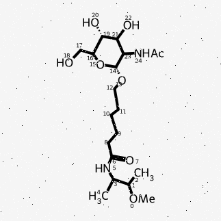 COC(C)C(C)NC(=O)CCCCCO[C@@H]1OC(CO)[C@H](O)C(O)C1NC(C)=O